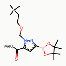 COC(=O)c1cc(B2OC(C)(C)C(C)(C)O2)nn1COCC[Si](C)(C)C